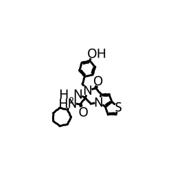 NC1(C(=O)NC2CCCCCC2)Cn2c(cc3sccc32)C(=O)N1Cc1ccc(O)cc1